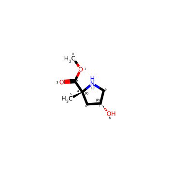 COC(=O)[C@@]1(C)C[C@@H](O)CN1